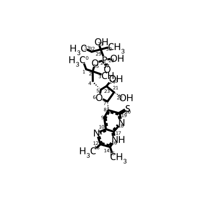 CCC(C)(C[C@H]1O[C@@H](c2cc3nc(C)c(C)[nH]c-3nc2=S)[C@@H](O)C1O)OP(=O)(O)C(C)(O)CC